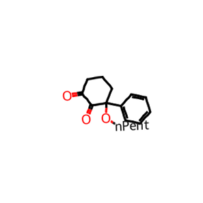 CCCCCOC1(c2ccccc2)CCCC(=O)C1=O